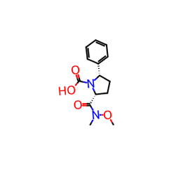 CON(C)C(=O)[C@H]1CC[C@@H](c2ccccc2)N1C(=O)O